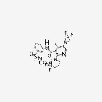 Cc1c(N2CC(F)(F)C2)cnc(N2CCCC(F)(F)CC2)c1C(=O)Nc1cccc(S(C)(=O)=NC(=O)O)c1